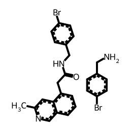 Cc1cc2c(CC(=O)NCc3ccc(Br)cc3)cccc2cn1.NCc1ccc(Br)cc1